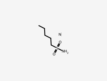 CCCCCS(N)(=O)=O.[N]